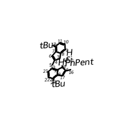 CCCCC[SiH]=[Hf]([CH]1C(C)=Cc2c1cccc2C(C)(C)C)[CH]1C(C)=Cc2c1cccc2C(C)(C)C